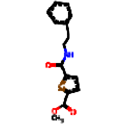 COC(=O)c1ccc(C(=O)NCCc2ccccc2)s1